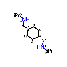 CC(C)NC[C@H]1CC[C@H](CNC(C)C)CC1